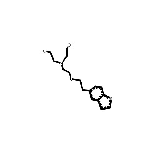 OCCN(CCO)CCOCCc1ccc2sccc2c1